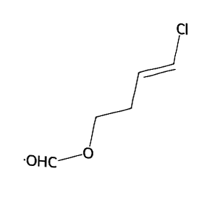 O=[C]OCC/C=C/Cl